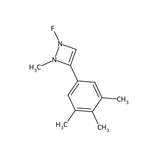 Cc1cc(-c2cn(F)n2C)cc(C)c1C